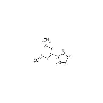 C=CCC(CC=C)C1OCCO1